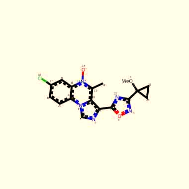 COC1(c2noc(-c3ncn4c3c(C)[n+]([O-])c3cc(Cl)ccc34)n2)CC1